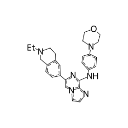 CCN1CCc2cc(-c3cn4ccnc4c(Nc4ccc(N5CCOCC5)cc4)n3)ccc2C1